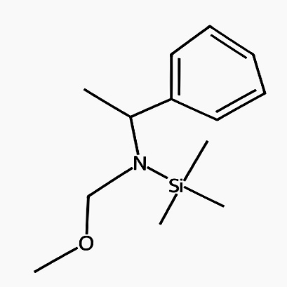 COCN(C(C)c1ccccc1)[Si](C)(C)C